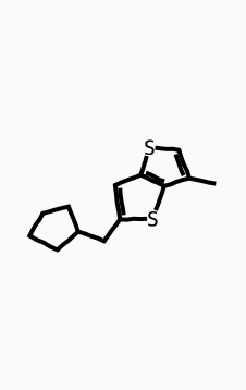 Cc1csc2cc(CC3CCCC3)sc12